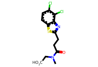 CN(CC(=O)O)C(=O)CCc1nc2c(Cl)c(Cl)ccc2s1